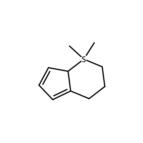 CS1(C)CCCC2=CC=CC21